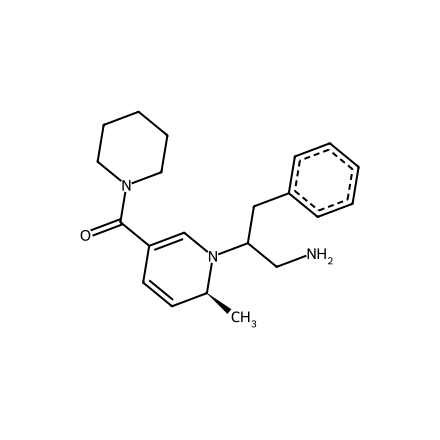 C[C@H]1C=CC(C(=O)N2CCCCC2)=CN1C(CN)Cc1ccccc1